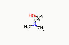 CCCN(C)C.CCCO